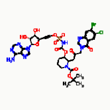 CC(C)(C)OC(=O)N1CCCC(OC(=O)NS(=O)(=O)OC#CC2O[C@@H](n3cnc4c(N)ncnc43)[C@H](O)[C@@H]2O)C1CC(=O)Cn1cnc2cc(Br)c(Cl)cc2c1=O